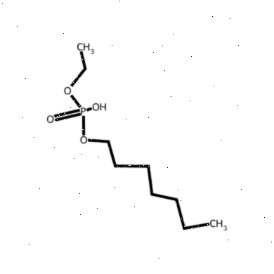 CCCCCCCOP(=O)(O)OCC